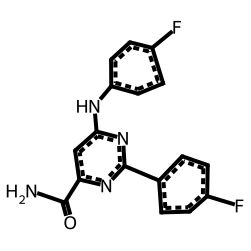 NC(=O)c1cc(Nc2ccc(F)cc2)nc(-c2ccc(F)cc2)n1